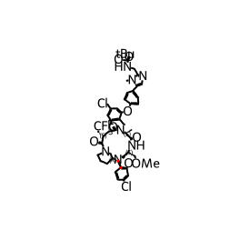 COC[C@@H]1NC(=O)[C@H](C)N(Cc2c(F)cc(Cl)cc2Oc2ccc(-c3cnc(CNC(=O)OC(C)(C)C)n3C)cc2)C(=O)C[C@@H](CC(F)(F)F)C(=O)N2CCC[C@@](Cc3ccc(Cl)cc3)(C2)N(C)C1=O